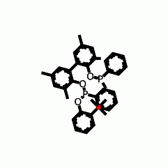 Cc1cc(C)c(OP(C)c2ccccc2)c(-c2cc(C)cc(C)c2OP(Oc2ccccc2C(C)(C)C)c2ccccc2)c1